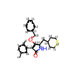 Cc1ccc(C)c(C2=C(OCc3ccccc3)C(CC3CCSCC3)NC2=O)c1